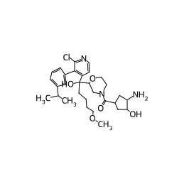 COCCCCC(O)(c1ccnc(Cl)c1-c1cccc(C(C)C)c1)C1CN(C(=O)C2CC(N)C(O)C2)CCO1